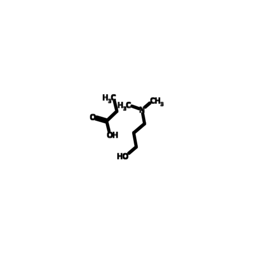 CCC(=O)O.CN(C)CCCO